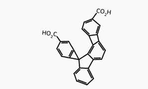 O=C(O)c1ccc2c(c1)-c1ccc3c(c1-2)C1(c2ccccc2-3)c2ccc(C(=O)O)cc21